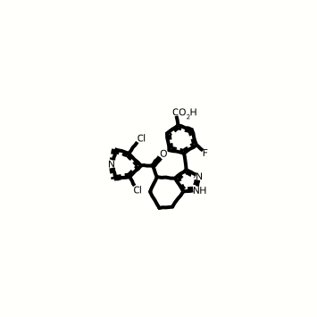 O=C(O)c1ccc(-c2n[nH]c3c2C(C(=O)c2c(Cl)cncc2Cl)CCC3)c(F)c1